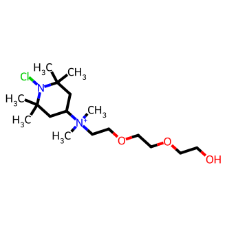 CC1(C)CC([N+](C)(C)CCOCCOCCO)CC(C)(C)N1Cl